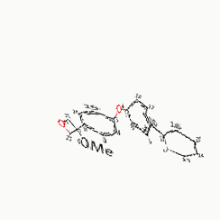 COC1(c2ccc(Oc3ccc(C4CCCCC4)cc3)cc2)COC1